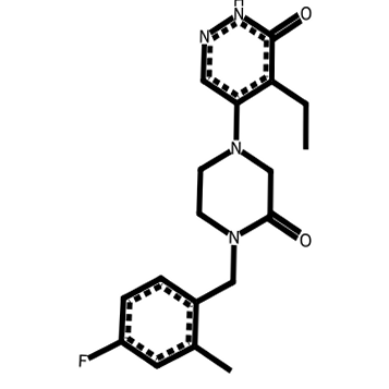 CCc1c(N2CCN(Cc3ccc(F)cc3C)C(=O)C2)cn[nH]c1=O